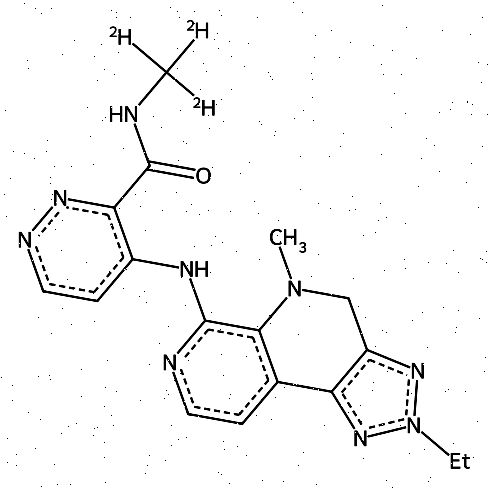 [2H]C([2H])([2H])NC(=O)c1nnccc1Nc1nccc2c1N(C)Cc1nn(CC)nc1-2